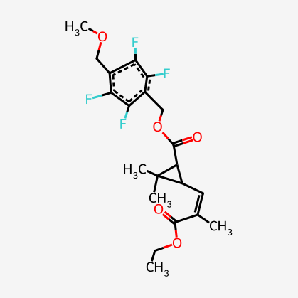 CCOC(=O)C(C)=CC1C(C(=O)OCc2c(F)c(F)c(COC)c(F)c2F)C1(C)C